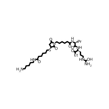 CCC(=O)[C@H](CCCNC(N)O)NC(=O)[C@@H](NC(=O)CCCCCN1C(=O)CC(SCCCCCC(=O)NCCCCCN)C1=O)C(C)C